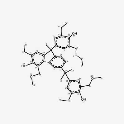 CCOCc1cc(C(C)(c2ccc(C(C)(C)c3cc(CC)c(O)c(COC)c3)cc2)c2cc(CC)c(O)c(COC)c2)cc(CC)c1O